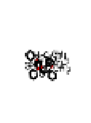 CC(C)[Si](OCc1cc2c(P(=O)(c3ccccc3)c3ccccc3)cc1CCc1ccc(cc1P(=O)(c1ccccc1)c1ccccc1)CC2)(C(C)C)C(C)C